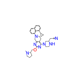 CN1CCCC1COc1nc2c(c(N3CCNC(CC#N)C3)n1)CCN(c1cccc3cccc(C4CC4)c13)C2